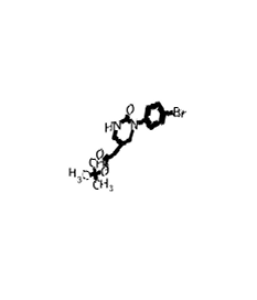 CC(C)(C)OC(=O)CC1CNC(=O)N(c2ccc(Br)cc2)C1